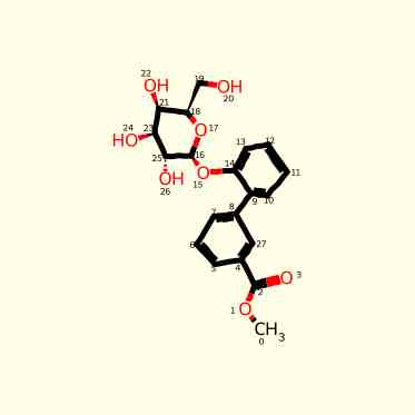 COC(=O)c1cccc(-c2ccccc2O[C@@H]2O[C@H](CO)[C@H](O)[C@H](O)[C@H]2O)c1